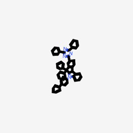 c1ccc(-c2ccc(N3c4ccccc4C4c5ccc(-c6nc(-c7ccccc7)nc(-c7ccccc7)n6)cc5C(c5ccccc5)(c5ccccc5)C43)cc2)cc1